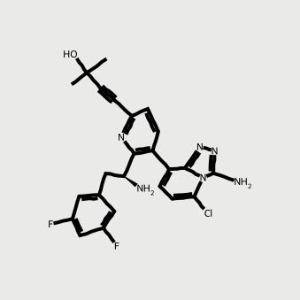 CC(C)(O)C#Cc1ccc(-c2ccc(Cl)n3c(N)nnc23)c([C@@H](N)Cc2cc(F)cc(F)c2)n1